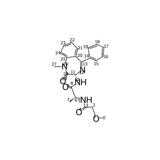 COCC(=O)N[C@@H](C)C(=O)N[C@H]1N=C(c2ccccc2)c2ccccc2N(C)C1=O